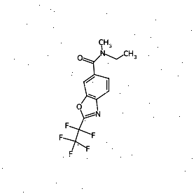 CCN(C)C(=O)c1ccc2nc(C(F)(F)C(F)(F)F)oc2c1